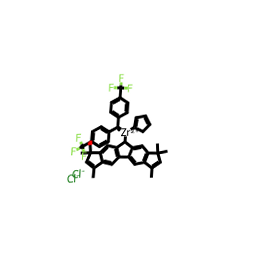 CC1=CC(C)(C)c2cc3c(cc21)-c1cc2c(cc1[CH]3[Zr+2]([C]1=CC=CC1)=[C](c1ccc(C(F)(F)F)cc1)c1ccc(C(F)(F)F)cc1)C(C)(C)C=C2C.[Cl-].[Cl-]